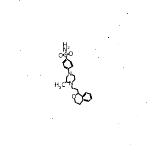 C[C@H]1CN(c2ccc(S(N)(=O)=O)cc2)CCN1CCC1OCCc2ccccc21